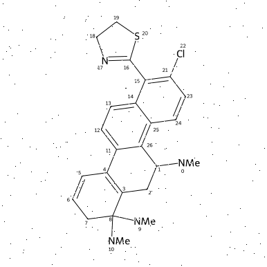 CNC1CC2=C(C=CCC2(NC)NC)c2ccc3c(C4=NCCS4)c(Cl)ccc3c21